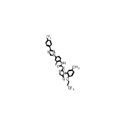 Cc1ccc(OCCC(F)(F)F)c(N2C(=O)CS/C2=N\C(=O)Nc2ccc(-n3cnc(-c4ccc(C(F)(F)F)cc4)n3)cc2F)c1